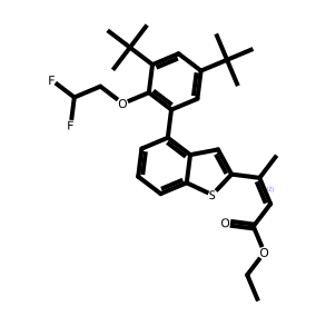 CCOC(=O)/C=C(/C)c1cc2c(-c3cc(C(C)(C)C)cc(C(C)(C)C)c3OCC(F)F)cccc2s1